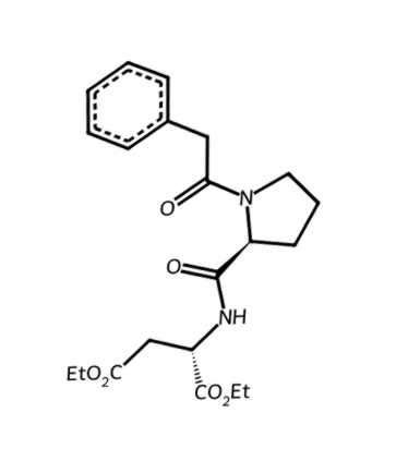 CCOC(=O)C[C@H](NC(=O)[C@@H]1CCCN1C(=O)Cc1ccccc1)C(=O)OCC